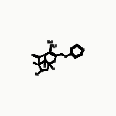 CC(=O)N1C[C@H]2OC(CSc3ccncc3)=C(C(=O)O)N3C(=O)[C@@H]1[C@@H]23.[NaH]